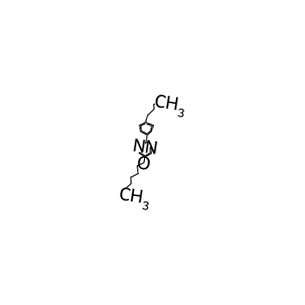 CCCCCCOc1cnc(-c2ccc(CCCC)cc2)nc1